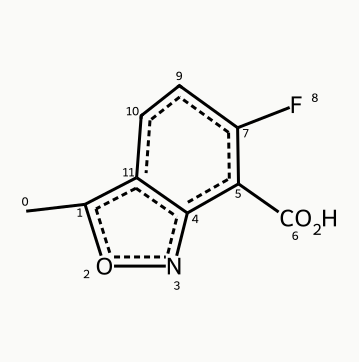 Cc1onc2c(C(=O)O)c(F)ccc12